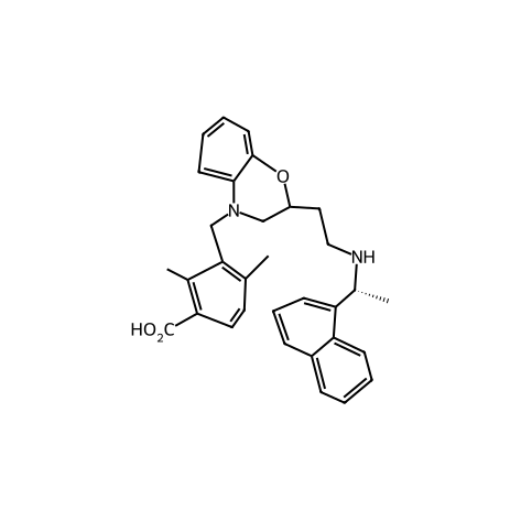 Cc1ccc(C(=O)O)c(C)c1CN1CC(CCN[C@H](C)c2cccc3ccccc23)Oc2ccccc21